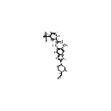 COc1cc2nc(C3CCC(C=O)CC3)oc2cc1NC(=O)c1cccc(C(C)(F)F)n1